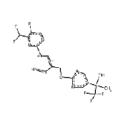 CC(O)(c1cnc(OC/C(=C/Nc2ccc(F)c(C(F)F)c2)N=N)nc1)C(F)(F)F